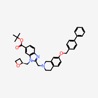 CC(C)(C)OC(=O)c1ccc2nc(CN3CCc4ccc(OCc5ccc(-c6ccccc6)cc5)cc4C3)n(C[C@@H]3CCO3)c2c1